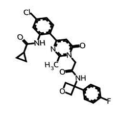 Cc1nc(-c2ccc(Cl)cc2NC(=O)C2CC2)cc(=O)n1CC(=O)NC1(c2ccc(F)cc2)COC1